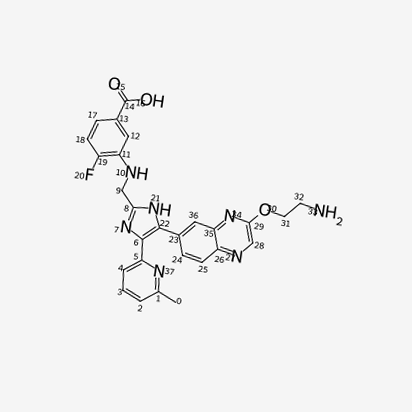 Cc1cccc(-c2nc(CNc3cc(C(=O)O)ccc3F)[nH]c2-c2ccc3ncc(OCCN)nc3c2)n1